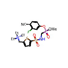 CC[N+](CC)(CC)Cc1ccc(S(=O)(=O)NCP(=O)(OC)Oc2ccc(C#N)c(F)c2)s1